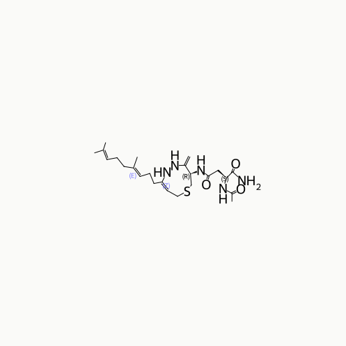 C=C1NN/C(CC/C=C(\C)CCC=C(C)C)=C\CSC[C@@H]1NC(=O)C[C@H](NC(C)=O)C(N)=O